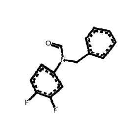 O=CN(Cc1ccccc1)c1ccc(F)c(F)c1